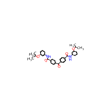 CC(C)Oc1cccc(NC(=O)c2ccc(C(=O)c3ccc(C(=O)Nc4cccc(OC(C)C)c4)cc3)cc2)c1